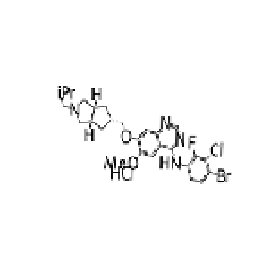 COc1cc2c(Nc3ccc(Br)c(Cl)c3F)ncnc2cc1OC[C@@H]1C[C@@H]2CN(CC(C)C)C[C@@H]2C1.Cl